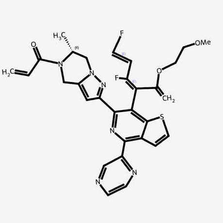 C=CC(=O)N1Cc2cc(-c3nc(-c4cnccn4)c4ccsc4c3/C(C(=C)OCCOC)=C(F)/C=C/F)nn2C[C@H]1C